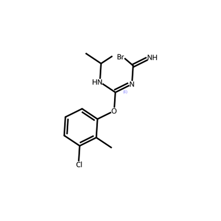 Cc1c(Cl)cccc1O/C(=N/C(=N)Br)NC(C)C